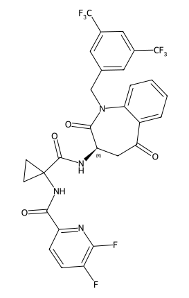 O=C(NC1(C(=O)N[C@@H]2CC(=O)c3ccccc3N(Cc3cc(C(F)(F)F)cc(C(F)(F)F)c3)C2=O)CC1)c1ccc(F)c(F)n1